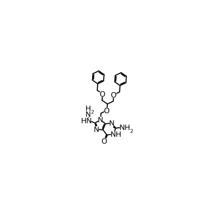 NNc1nc2c(=O)[nH]c(N)nc2n1COC(COCc1ccccc1)COCc1ccccc1